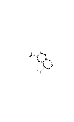 COC(=O)c1cc2c(C(C)C)ccnc2cc1OC